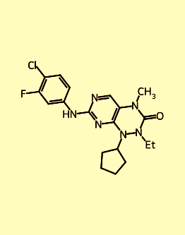 CCN1C(=O)N(C)c2cnc(Nc3ccc(Cl)c(F)c3)nc2N1C1CCCC1